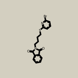 O=C1c2ccccc2C(=O)N1CCCCSc1cccc(Br)n1